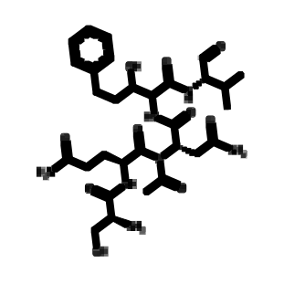 CC(=O)N(C(=O)[C@H](CCC(N)=O)NC(=O)[C@@H](N)CO)[C@@H](CC(N)=O)C(=O)NC(C(=O)N[C@H]([C]=O)C(C)C)C(O)CCc1ccccc1